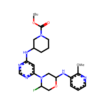 COc1ncccc1NC1CN(c2cc(NC3CCCN(C(=O)OC(C)(C)C)C3)ncn2)C(F)CO1